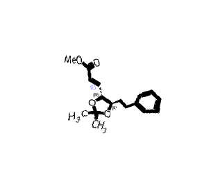 COC(=O)/C=C/[C@H]1OC(C)(C)O[C@@H]1CCc1ccccc1